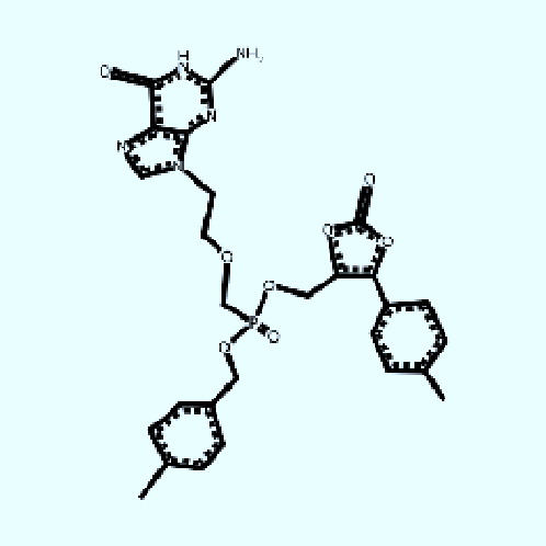 Cc1ccc(COP(=O)(COCCn2cnc3c(=O)[nH]c(N)nc32)OCc2oc(=O)oc2-c2ccc(C)cc2)cc1